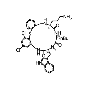 CCCC[C@@H]1NC(=O)[C@H](CCCN)NCc2cccnc2Sc2c(Cl)cc(Cl)cc2CNC(=O)[C@H](Cc2c[nH]c3ccccc23)N(C)C1=O